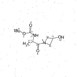 CC(NC(=O)OC(C)(C)C)C(=O)N1CC(O)C1